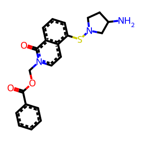 NC1CCN(Sc2cccc3c(=O)n(COC(=O)c4ccccc4)ccc23)C1